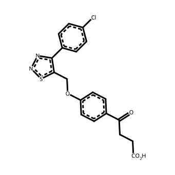 O=C(O)CCC(=O)c1ccc(OCc2snnc2-c2ccc(Cl)cc2)cc1